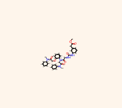 COC(=O)Cc1cccc(NC(=O)NCC(=O)N(CC(=O)N(C)c2ccccc2)c2ccccc2OCC(=O)N(C)c2ccccc2)c1